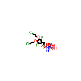 CCC(CC)(NS(=O)(=O)c1cc2c(F)c(OCCCCl)c(OCCCCl)c(F)c2s1)P(=O)(O)O